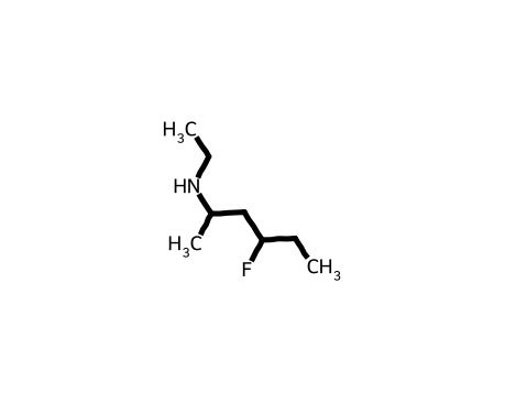 CCNC(C)CC(F)CC